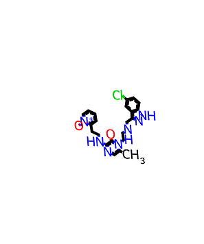 Cc1cnc(NCCc2cccc[n+]2[O-])c(=O)n1CCNCc1n[nH]c2ccc(Cl)cc12